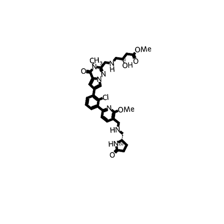 COC(=O)C[C@H](O)CNCc1nn2cc(-c3cccc(-c4ccc(CNC[C@@H]5CCC(=O)N5)c(OC)n4)c3Cl)cc2c(=O)n1C